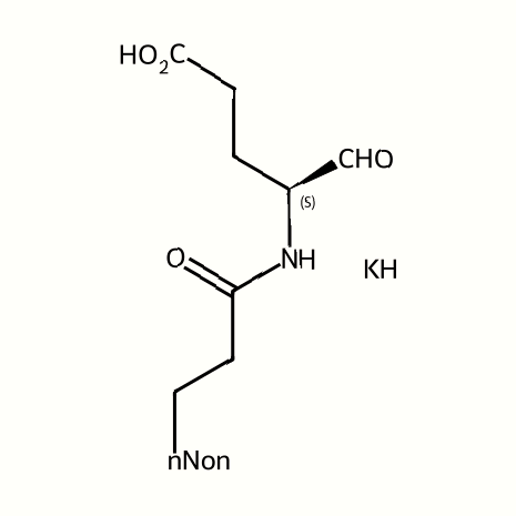 CCCCCCCCCCCC(=O)N[C@H](C=O)CCC(=O)O.[KH]